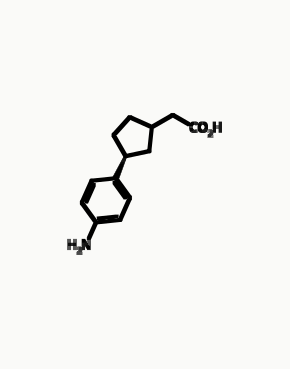 Nc1ccc([C@H]2CCC(CC(=O)O)C2)cc1